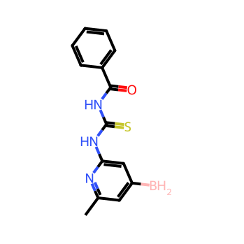 Bc1cc(C)nc(NC(=S)NC(=O)c2ccccc2)c1